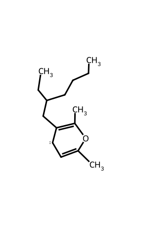 CCCCC(CC)CC1=C(C)OC(C)=C[C]1